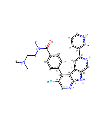 CN(C)CCN(C)C(=O)c1ccc(-c2c(F)cnc3[nH]c4cnc(-c5cccnc5)cc4c23)cc1